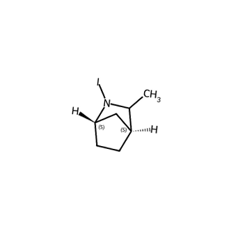 CC1[C@H]2CC[C@@H](C2)N1I